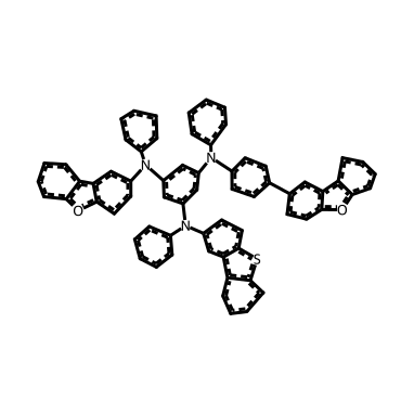 c1ccc(N(c2ccc(-c3ccc4oc5ccccc5c4c3)cc2)c2cc(N(c3ccccc3)c3ccc4oc5ccccc5c4c3)cc(N(c3ccccc3)c3ccc4sc5ccccc5c4c3)c2)cc1